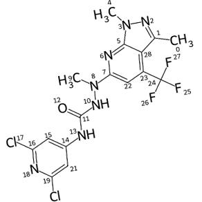 Cc1nn(C)c2nc(N(C)NC(=O)Nc3cc(Cl)nc(Cl)c3)cc(C(F)(F)F)c12